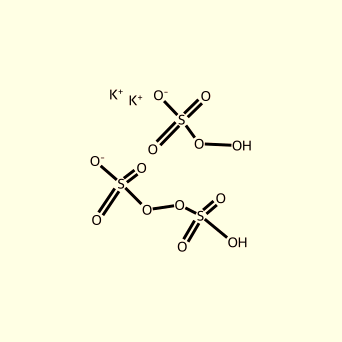 O=S(=O)([O-])OO.O=S(=O)([O-])OOS(=O)(=O)O.[K+].[K+]